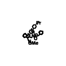 CON=Cc1c(CNC(=O)OCc2ccccc2)n(C2CCN([C@H]3CC[C@@H](C(C)C)CC3)CC2)c2ccccc12